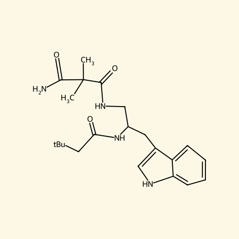 CC(C)(C)CC(=O)NC(CNC(=O)C(C)(C)C(N)=O)Cc1c[nH]c2ccccc12